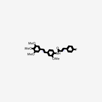 COc1cc(/C=C/c2cc(OC)c(OC)c(OC)c2)ccc1NC(=O)/C=C/c1ccc(F)cc1